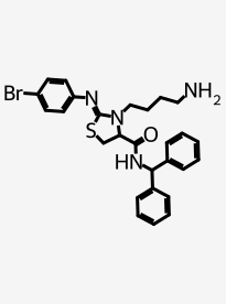 NCCCCN1C(=Nc2ccc(Br)cc2)SCC1C(=O)NC(c1ccccc1)c1ccccc1